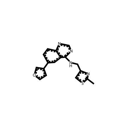 Cc1nc(CNc2ncnc3ccc(-c4ccoc4)cc23)cs1